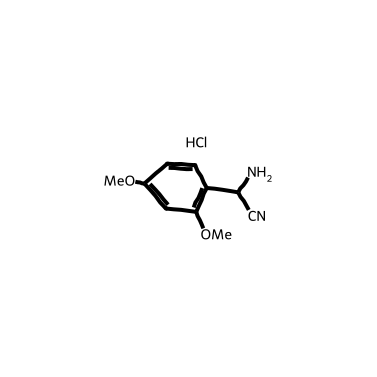 COc1ccc(C(N)C#N)c(OC)c1.Cl